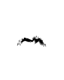 C=C/C=C(\C=C)CN1CCC(CCN(C)CCCCc2ccc(C3=COc4c(ccc(O)c4O)C3=C)cc2)CC1